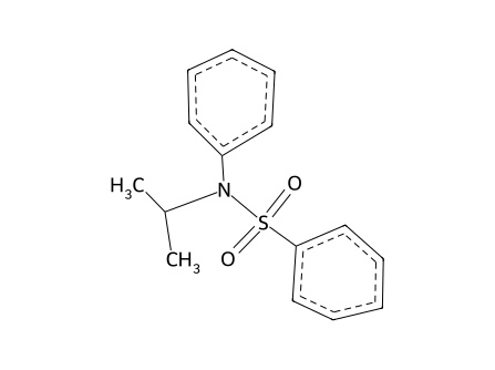 CC(C)N(c1ccccc1)S(=O)(=O)c1ccccc1